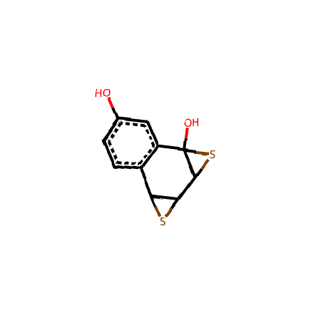 Oc1ccc2c(c1)C1(O)SC1C1SC21